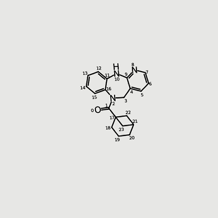 O=C(N1Cc2cccnc2Nc2ccccc21)C12CCCC(C1)C2